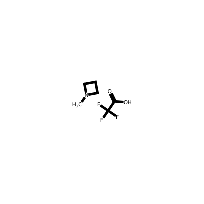 CN1CCC1.O=C(O)C(F)(F)F